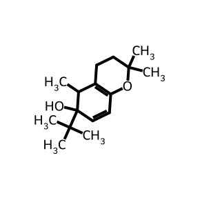 CC1C2=C(C=CC1(O)C(C)(C)C)OC(C)(C)CC2